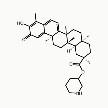 CC1=C(O)C(=O)C=C2C1=CC=C1[C@@]2(C)CC[C@@]2(C)[C@@H]3C[C@](C)(C(=O)OC4CCCNC4)CC[C@]3(C)CC[C@]12C